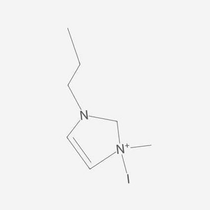 CCCN1C=C[N+](C)(I)C1